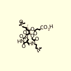 Cc1cn([C@@H]2O[C@H]([C@@H](C)CP(C)(C)=O)[C@@H](OC(=O)CCC(=O)O)[C@H]2OCC(=O)NCCN(C)C)c(=O)[nH]c1=O